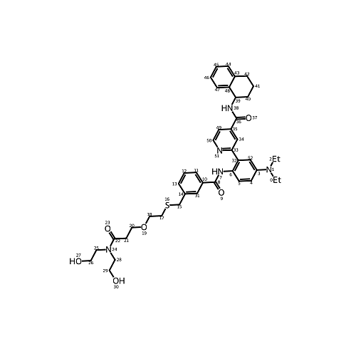 CCN(CC)c1ccc(NC(=O)c2cccc(CSCCOCCC(=O)N(CCO)CCO)c2)c(-c2cc(C(=O)NC3CCCc4ccccc43)ccn2)c1